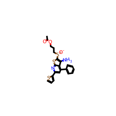 CC(=O)OCCC[S+]([O-])c1sc2nc(-c3cccs3)cc(-c3ccccc3)c2c1N